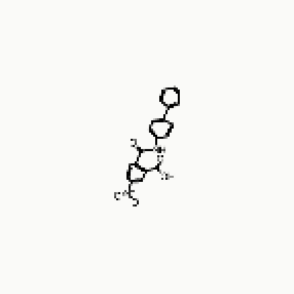 O=C(O)c1cc([N+](=O)[O-])ccc1C(=O)Nc1ccc(-c2ccccc2)cc1